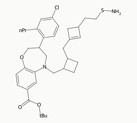 CCCc1cc(Cl)ccc1C1COc2ccc(C(=O)OC(C)(C)C)cc2N(CC2CCC2CC2=CC(CCSN)C2)C1